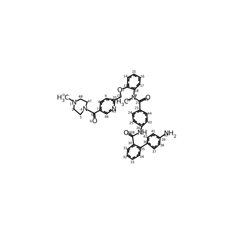 CN1CCN(C(=O)c2ccc(COc3ccccc3N(C)C(=O)c3ccc(NC(=O)c4ccccc4-c4ccc(N)cc4)cc3)nc2)CC1